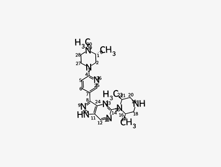 C[C@@H]1CN(c2ccc(-c3n[nH]c4cnc(N5[C@H](C)CNC[C@@H]5C)nc34)cn2)CCN1C